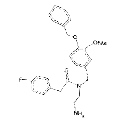 COc1cc(CN(CCN)C(=O)Cc2ccc(F)cc2)ccc1OCc1ccccc1